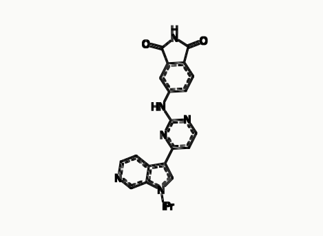 CC(C)n1cc(-c2ccnc(Nc3ccc4c(c3)C(=O)NC4=O)n2)c2ccncc21